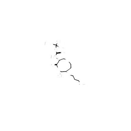 CCCCO[C@@H]1CCOC[C@H](NC(=O)OC(C)(C)C)C(=O)O[C@H]1C